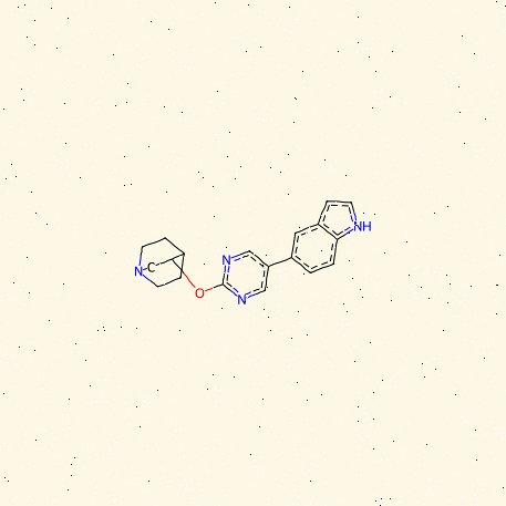 c1cc2cc(-c3cnc(OC4CN5CCC4CC5)nc3)ccc2[nH]1